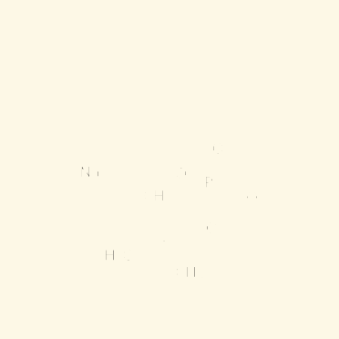 CC(C)(C)OP(=O)([O-])Oc1ccccc1.[Na+]